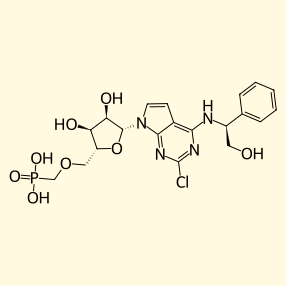 O=P(O)(O)COC[C@H]1O[C@@H](n2ccc3c(N[C@H](CO)c4ccccc4)nc(Cl)nc32)[C@H](O)[C@@H]1O